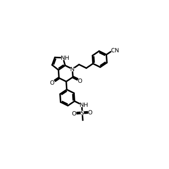 CS(=O)(=O)Nc1cccc(C2C(=O)c3cc[nH]c3N(CCc3ccc(C#N)cc3)C2=O)c1